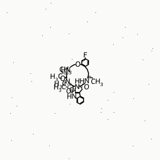 CC[C@@H]1CCc2ccc(F)cc2OCCN[C@@H](C(C)C)C(=O)N(C)[C@@H](C(C)O)C(=O)N[C@H](Cc2c[nH]c3ccccc23)C(=O)N1